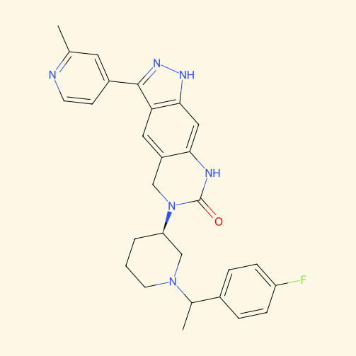 Cc1cc(-c2n[nH]c3cc4c(cc23)CN([C@@H]2CCCN(C(C)c3ccc(F)cc3)C2)C(=O)N4)ccn1